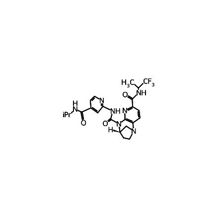 CC(C)NC(=O)c1ccnc(NC(=O)N2c3nc(C(=O)NC(C)C(F)(F)F)ccc3N3CC[C@H]2C3)c1